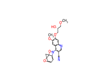 COC[C@@H](O)COc1cc2ncc(C#N)c(N3OC45CC46OC6=CC=C35)c2cc1OC